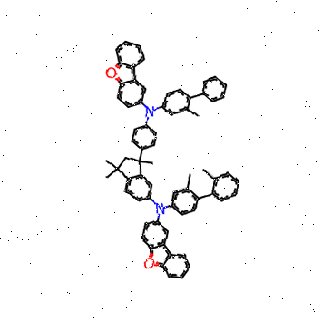 Cc1cc(N(c2ccc(C3(C)CC(C)(C)c4ccc(N(c5ccc(-c6ccccc6C)c(C)c5)c5ccc6oc7ccccc7c6c5)cc43)cc2)c2ccc3oc4ccccc4c3c2)ccc1-c1ccccc1